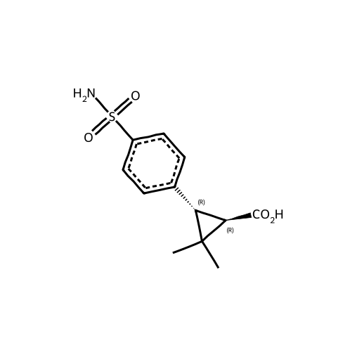 CC1(C)[C@H](C(=O)O)[C@H]1c1ccc(S(N)(=O)=O)cc1